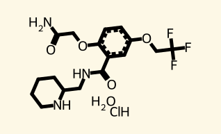 Cl.NC(=O)COc1ccc(OCC(F)(F)F)cc1C(=O)NCC1CCCCN1.O